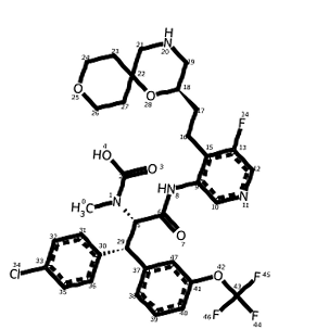 CN(C(=O)O)[C@H](C(=O)Nc1cncc(F)c1CC[C@@H]1CNCC2(CCOCC2)O1)[C@@H](c1ccc(Cl)cc1)c1cccc(OC(F)(F)F)c1